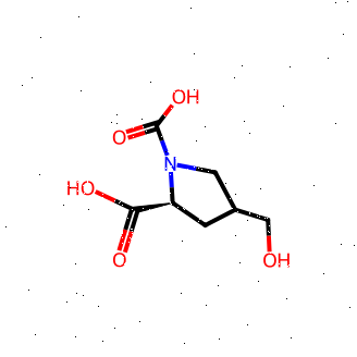 O=C(O)[C@@H]1CC(CO)CN1C(=O)O